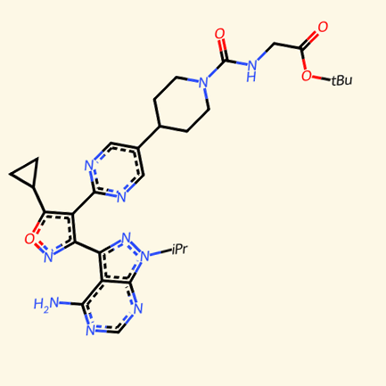 CC(C)n1nc(-c2noc(C3CC3)c2-c2ncc(C3CCN(C(=O)NCC(=O)OC(C)(C)C)CC3)cn2)c2c(N)ncnc21